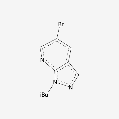 CCC(C)n1ncc2cc(Br)cnc21